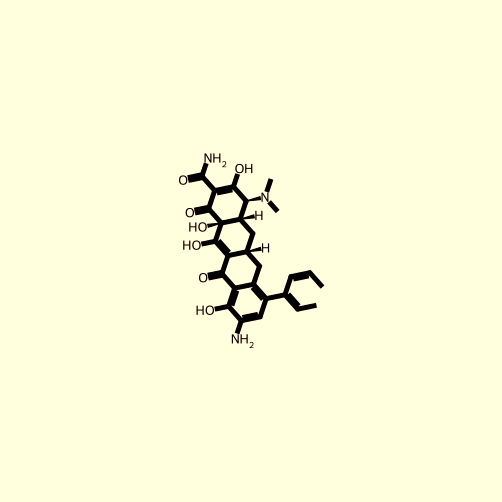 C/C=C\C(=C/C)c1cc(N)c(O)c2c1C[C@H]1C[C@H]3[C@H](N(C)C)C(O)=C(C(N)=O)C(=O)[C@@]3(O)C(O)=C1C2=O